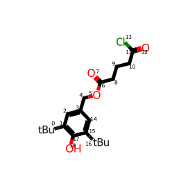 CC(C)(C)c1cc(COC(=O)CCCC(=O)Cl)cc(C(C)(C)C)c1O